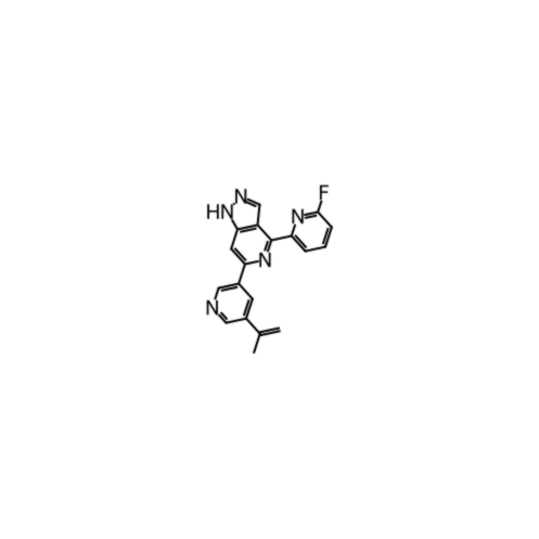 C=C(C)c1cncc(-c2cc3[nH]ncc3c(-c3cccc(F)n3)n2)c1